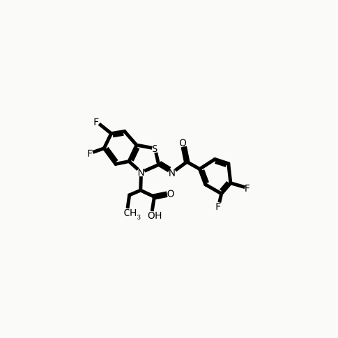 CCC(C(=O)O)n1c(=NC(=O)c2ccc(F)c(F)c2)sc2cc(F)c(F)cc21